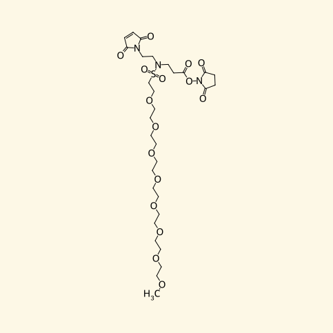 COCCOCCOCCOCCOCCOCCOCCOCCS(=O)(=O)N(CCC(=O)ON1C(=O)CCC1=O)CCN1C(=O)C=CC1=O